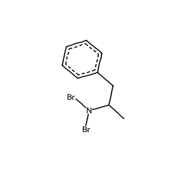 CC(Cc1ccccc1)N(Br)Br